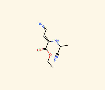 CCOC(=O)/C(=C/C=N)NC(C)C#N